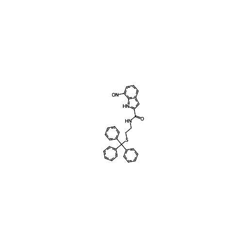 O=Nc1cccc2cc(C(=O)NCCSC(c3ccccc3)(c3ccccc3)c3ccccc3)[nH]c12